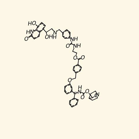 O=C(NCCOC(=O)c1ccc(COc2cccc([C@@H](NC(=O)OC3CN4CCC3CC4)c3ccccc3)c2)cc1)Nc1ccc(CNCC(O)c2ccc(O)c3[nH]c(=O)ccc23)cc1